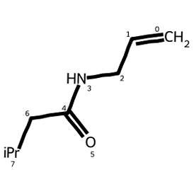 C=CCNC(=O)CC(C)C